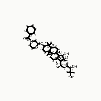 C[C@@H]1C[C@H]([C@H](O)C(C)(C)O)O[C@H]2C1[C@@]1(C)CC[C@@]34CC35CCC(OC3CN(C(=O)C6CCCCC6)CCO3)C(C)(C)[C@@H]5CC[C@H]4[C@]1(C)[C@H]2O